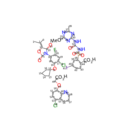 CC(C)=C1OC(=O)N(c2cc(OC3CCCC3)c(Cl)cc2F)C1=O.COc1nc(C)nc(NC(=O)NS(=O)(=O)c2cc(I)ccc2C(=O)O)n1.O=C(O)COc1ccc(Cl)c2cccnc12